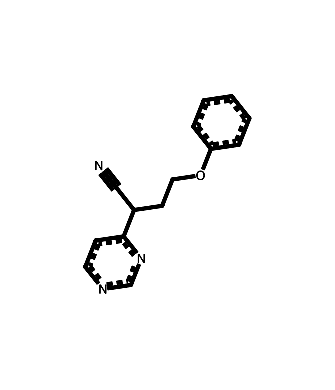 N#CC(CCOc1ccccc1)c1ccncn1